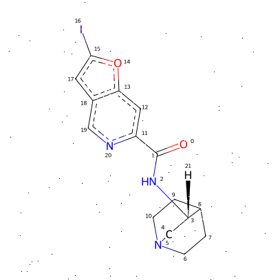 O=C(N[C@H]1CN2CCC1CC2)c1cc2oc(I)cc2cn1